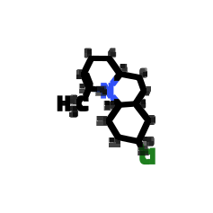 CC1=CCCC2CCC3CC(Cl)CCC3N12